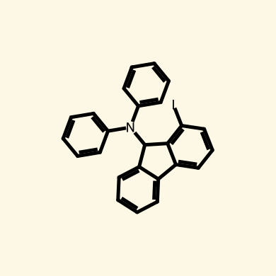 Ic1cccc2c1C(N(c1ccccc1)c1ccccc1)c1ccccc1-2